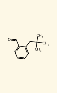 CC(C)(C)Cc1cccnc1C=O